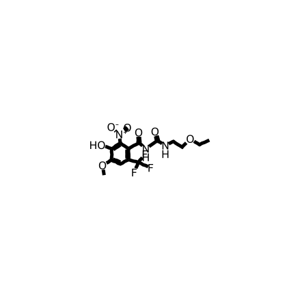 CCOCCNC(=O)NC(=O)c1c(C(F)(F)F)cc(OC)c(O)c1[N+](=O)[O-]